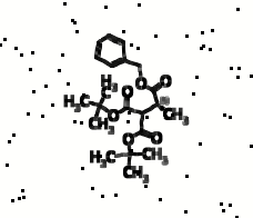 C[C@H](C(=O)OCc1ccccc1)C(C(=O)OC(C)(C)C)C(=O)OC(C)(C)C